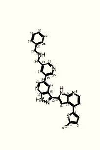 Fc1ccc(-c2ccnc3[nH]c(-c4n[nH]c5ncc(-c6cncc(CNCc7ccccc7)c6)cc45)cc23)s1